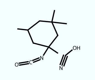 CC1CC(C)(C)CC(C)(N=C=O)C1.N#CO